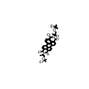 CCC(C)(C)OCC(C)N1C(=O)c2ccc3c4ccc5c6c(ccc(c7ccc(c2c37)C1=O)c64)C(=O)N(C(C)(CC)COC(C)(C)CC)C5=O